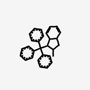 CC1CC2C=CC=CC2C1C(c1ccccc1)(c1ccccc1)c1ccccc1